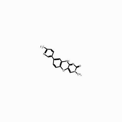 Cn1cc2c(nc1=O)Nc1cc(-c3ccc(C(F)(F)F)nc3)ccc1O2